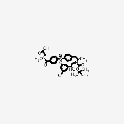 C[C@H](Cc1ccc(S(=O)(=O)c2ccc(C(=O)N(C)CC(=O)O)cc2)cc1)N(C[C@@H](O)c1cccc(Cl)c1)C(=O)OC(C)(C)C